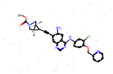 CC(C)(C)OC(=O)N1C[C@@H]2C(C#Cc3cc4ncnc(Nc5ccc(OCc6ccccn6)c(Cl)c5)c4cc3N)[C@@H]2C1